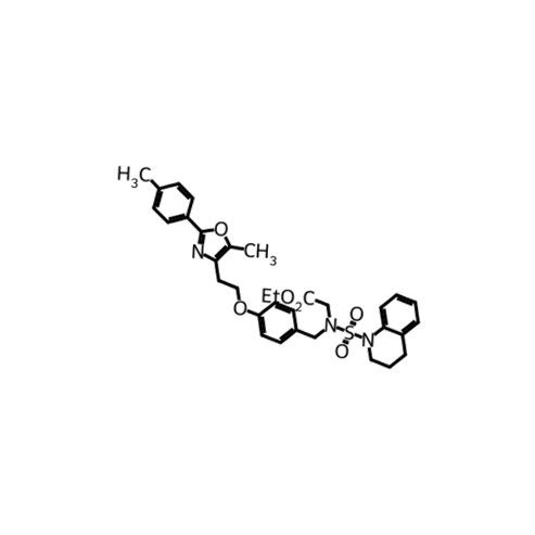 CCOC(=O)CN(Cc1ccc(OCCc2nc(-c3ccc(C)cc3)oc2C)cc1)S(=O)(=O)N1CCCc2ccccc21